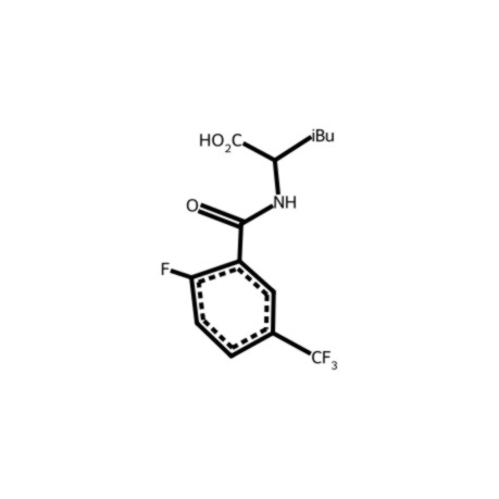 CCC(C)C(NC(=O)c1cc(C(F)(F)F)ccc1F)C(=O)O